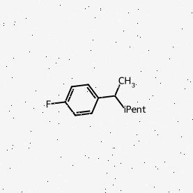 CCCC(C)C(C)c1ccc(F)cc1